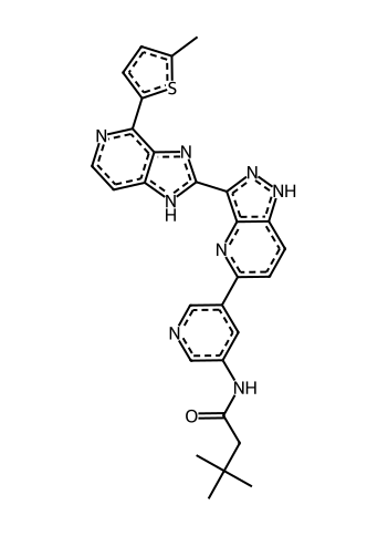 Cc1ccc(-c2nccc3[nH]c(-c4n[nH]c5ccc(-c6cncc(NC(=O)CC(C)(C)C)c6)nc45)nc23)s1